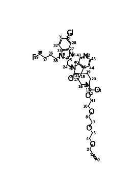 C#CCOCCOCCOCCOC(=O)N1CCC2(CC1)C(=O)N(Cc1nc3cc(Cl)ccc3n1CCCCF)c1cnccc12